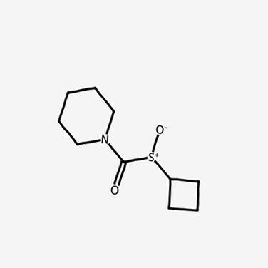 O=C(N1CCCCC1)[S+]([O-])C1CCC1